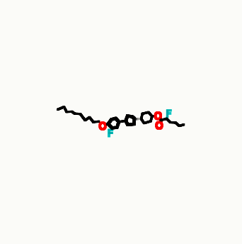 CCCCCCCCCCOc1ccc(-c2ccc([C@H]3CC[C@H](OC(=O)[C@@H](F)CCCC)CC3)cc2)cc1F